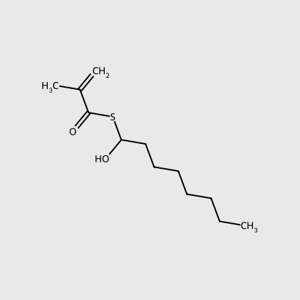 C=C(C)C(=O)SC(O)CCCCCCC